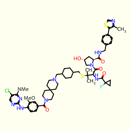 CNc1nc(Nc2ccc(C(=O)N3CCC4(CCN(CC5CCC(CSC(C)(C)C(NC(=O)C6(F)CC6)C(=O)N6C[C@H](O)C[C@H]6C(=O)NCc6ccc(-c7scnc7C)cc6)CC5)CC4)CC3)cc2OC)ncc1Cl